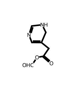 O=COC(=O)CC1=CN=CNC1